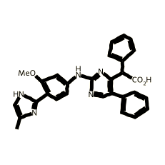 COc1cc(Nc2ncc(-c3ccccc3)c(C(C(=O)O)c3ccccc3)n2)ccc1-c1nc(C)c[nH]1